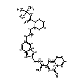 CC(C)(C)OC(=O)N1CCCCC1CNCc1ccc2nc(CNC(=O)c3cc(=O)n4ccccc4n3)cn2c1